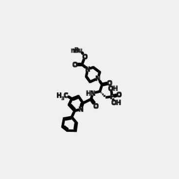 CCCCOC(=O)N1CCN(C(=O)[C@H](CP(=O)(O)O)NC(=O)c2cc(C)cc(-c3ccccc3)n2)CC1